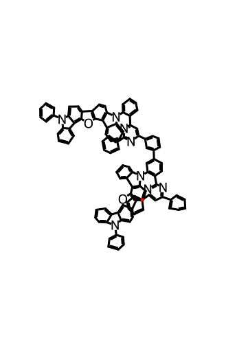 c1ccc(-c2cc(-c3ccccc3)nc(-c3ccc(-c4cccc(-c5cc(-c6ccccc6-n6c7ccccc7c7c8oc9c(ccc%10c9c9ccccc9n%10-c9ccccc9)c8ccc76)nc(-c6ccccc6)n5)c4)cc3-n3c4ccccc4c4c5oc6c(ccc7c6c6ccccc6n7-c6ccccc6)c5ccc43)n2)cc1